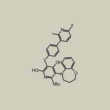 CCCCc1nc(O)c(Sc2ccc(-c3ccc(F)nc3C)cc2)c(O)c1N1CCCOc2ccccc21